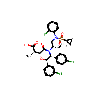 CC[C@@H](CN(c1ccccc1F)S(=O)(=O)C1CC1)N1C(=O)[C@@H]([C@H](C)C(=O)O)O[C@H](c2cccc(Cl)c2)[C@H]1c1ccc(Cl)cc1